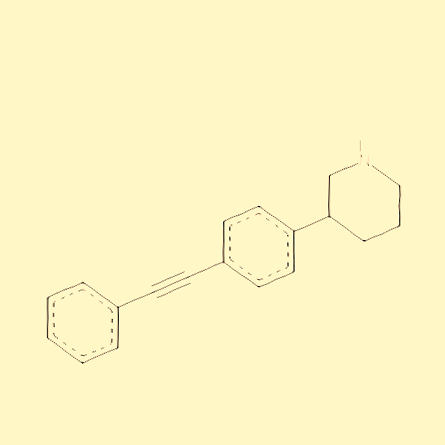 C(#Cc1ccc(C2CCCNC2)cc1)c1ccccc1